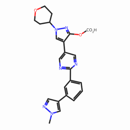 Cn1cc(-c2cccc(-c3ncc(-c4cn(C5CCOCC5)nc4OC(=O)O)cn3)c2)cn1